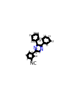 [C-]#[N+]c1cccc(-c2cnc(-c3ccccc3)c(-c3ccccc3)n2)c1